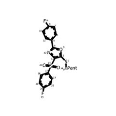 CCCCCSc1oc(-c2ccc(F)cc2)nc1S(=O)(=O)c1ccc(F)cc1